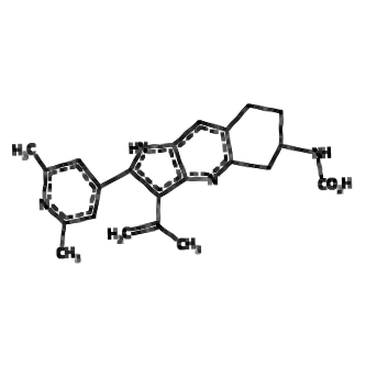 C=C(C)c1c(-c2cc(C)nc(C)c2)[nH]c2cc3c(nc12)CC(NC(=O)O)CC3